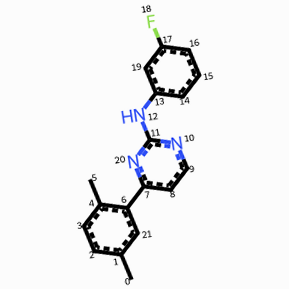 Cc1ccc(C)c(-c2ccnc(Nc3cccc(F)c3)n2)c1